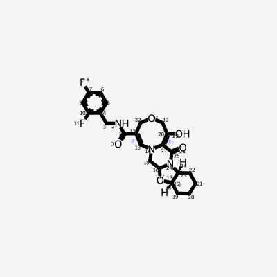 O=C(NCc1ccc(F)cc1F)/C1=C/N2CC3O[C@H]4CCCC[C@H]4N3C(=O)/C2=C(\O)COC1